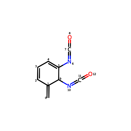 C=C1C=CC=C(N=C=O)C1N=C=O